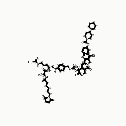 CCc1c2c(nc3ccc(OC(=O)N4CCC(N5CCCCC5)CC4)cc13)-c1cc3c(c(=O)n1C2)COC(=O)[C@]3(CC)OC(=O)OCc1ccc(NC[C@H](CCCNC(N)=O)NC(=O)[C@@H](NC(=O)CCCCCN2C(=O)C=CC2=O)C(C)C)cc1